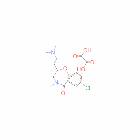 CN(C)CCC1CN(C)C(=O)c2cc(Cl)ccc2O1.O=C(O)C(=O)O